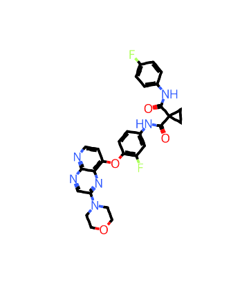 O=C(Nc1ccc(F)cc1)C1(C(=O)Nc2ccc(Oc3ccnc4ncc(N5CCOCC5)nc34)c(F)c2)CC1